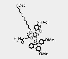 CCCCCCCCCCCCCCCCCCCCCCO[C@H]1C(OC(=O)CCC(N)=O)[C@@H](COC(c2ccccc2)(c2ccc(OC)cc2)c2ccc(OC)cc2)O[C@H]1n1ccc(NC(C)=O)nc1=O